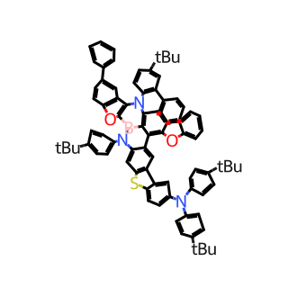 CC(C)(C)c1ccc(N2B3c4oc5ccc(-c6ccccc6)cc5c4N(c4ccc(C(C)(C)C)cc4-c4ccccc4)c4cc5c(oc6ccccc65)c(c43)-c3cc4c(cc32)sc2ccc(N(c3ccc(C(C)(C)C)cc3)c3ccc(C(C)(C)C)cc3)cc24)cc1